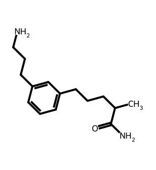 CC(CCCc1cccc(CCCN)c1)C(N)=O